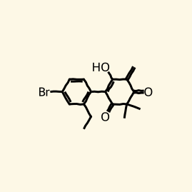 C=C1C(=O)C(C)(C)C(=O)C(c2ccc(Br)cc2CC)=C1O